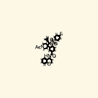 CC(=O)N1CCC2(CC1)c1cc(C(=O)NC3CCOc4ccccc43)ccc1N(S(=O)(=O)c1ccc(F)cc1)C2C1CC1